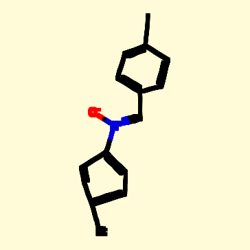 CCc1ccc([N+]([O-])=Cc2ccc(C)cc2)cc1